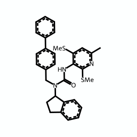 CSc1cc(C)nc(SC)c1NC(=O)N(Cc1ccc(-c2ccccc2)cc1)C1CCc2ccccc21